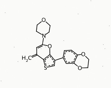 C=C1C=C(N2CCOCC2)Oc2c(-c3ccc4c(c3)OCCO4)csc21